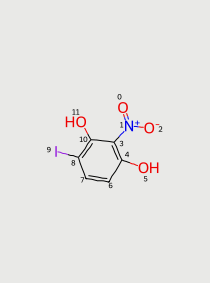 O=[N+]([O-])c1c(O)ccc(I)c1O